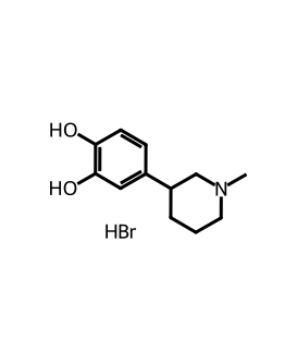 Br.CN1CCCC(c2ccc(O)c(O)c2)C1